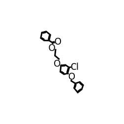 O=C(OCCCOc1ccc(OCc2ccccc2)c(Cl)c1)c1ccccc1